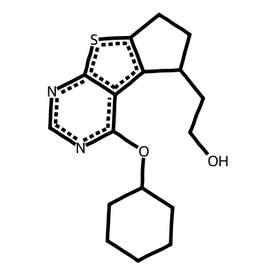 OCCC1CCc2sc3ncnc(OC4CCCCC4)c3c21